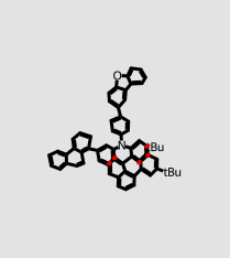 CC(C)(C)c1cc(-c2cccc3cccc(-c4ccccc4N(c4ccc(-c5ccc6oc7ccccc7c6c5)cc4)c4cccc(-c5cccc6c5ccc5ccccc56)c4)c23)cc(C(C)(C)C)c1